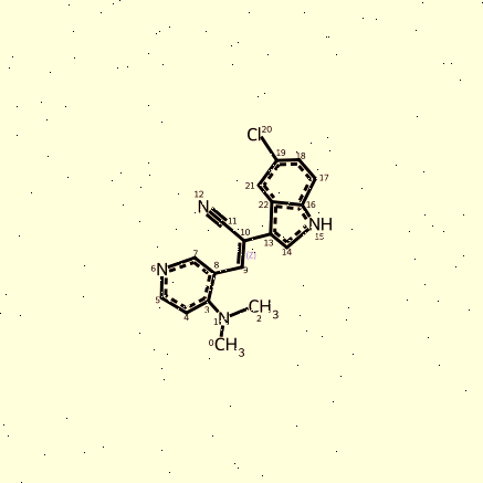 CN(C)c1ccncc1/C=C(\C#N)c1c[nH]c2ccc(Cl)cc12